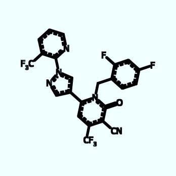 N#Cc1c(C(F)(F)F)cc(-c2cnn(-c3ncccc3C(F)(F)F)c2)n(Cc2ccc(F)cc2F)c1=O